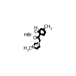 Br.Cc1ccc(C(=O)CN2C=CN(C)C2)c(C)c1